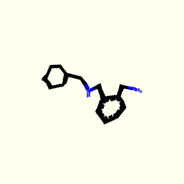 NCc1ccccc1CNCC1CCCCC1